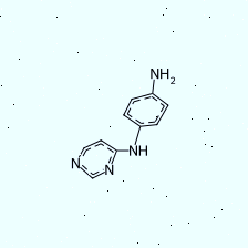 Nc1ccc(Nc2ccncn2)cc1